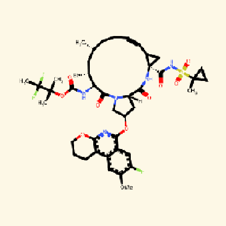 CC[C@@H]1C[C@H](C)CC/C=C\C2C[C@@]2(C(=O)NS(=O)(=O)C2(C)CC2)NC(=O)[C@@H]2C[C@@H](Oc3nc4c(c5cc(OC)c(F)cc35)CCCO4)CN2C(=O)[C@H]1NC(=O)OC(C)(C)C(C)(F)F